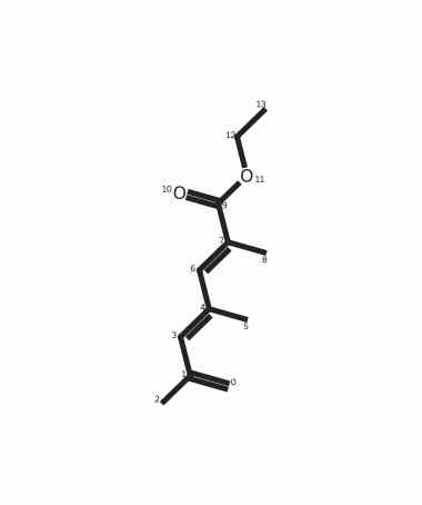 C=C(C)/C=C(C)/C=C(\C)C(=O)OCC